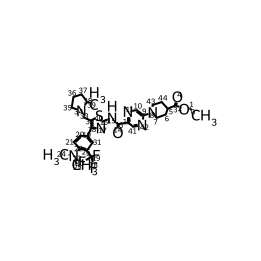 CCOC(=O)C1CCN(c2cnc(C(=O)Nc3nc(-c4ccc(N(C)C)c(C(F)(F)F)c4)c(CN4CCCC4C)s3)cn2)CC1